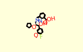 COc1cc([C@H](O)[C@H](Cn2cc3cccc(C(=O)O)c3n2)OC2CCCC2)ccc1F